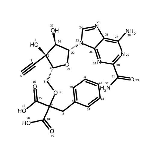 C#C[C@@]1(O)[C@@H](COC(Cc2ccccc2)(C(=O)O)C(=O)O)O[C@@H](n2cnc3c(N)nc(C(N)=O)nc32)[C@@H]1O